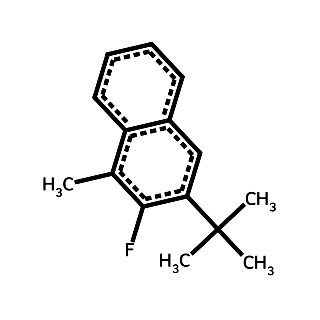 Cc1c(F)c(C(C)(C)C)cc2ccccc12